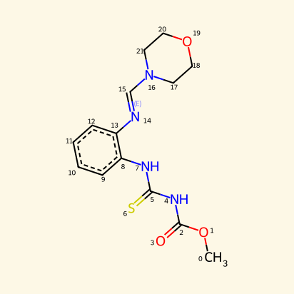 COC(=O)NC(=S)Nc1ccccc1/N=C/N1CCOCC1